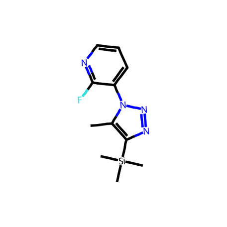 Cc1c([Si](C)(C)C)nnn1-c1cccnc1F